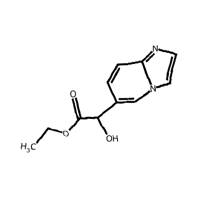 CCOC(=O)C(O)c1ccc2nccn2c1